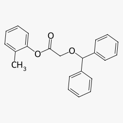 Cc1ccccc1OC(=O)COC(c1ccccc1)c1ccccc1